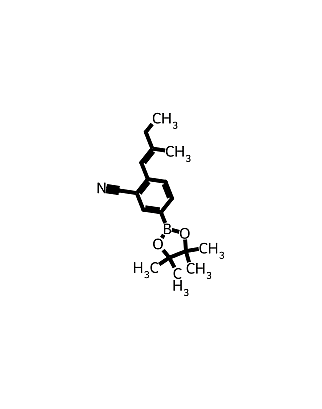 CC/C(C)=C/c1ccc(B2OC(C)(C)C(C)(C)O2)cc1C#N